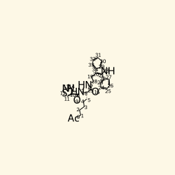 CC(=O)CCCCC[C@H](NC(=O)c1csnn1)C(=O)NCCc1c(-c2ccccc2)[nH]c2ccccc12